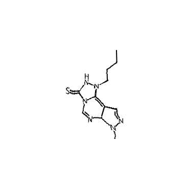 CCCCN1NC(=S)N2C=NC3C(=C12)C=NN3C